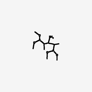 COP(OC)C(C)C(N)C(C)P(OC)OC